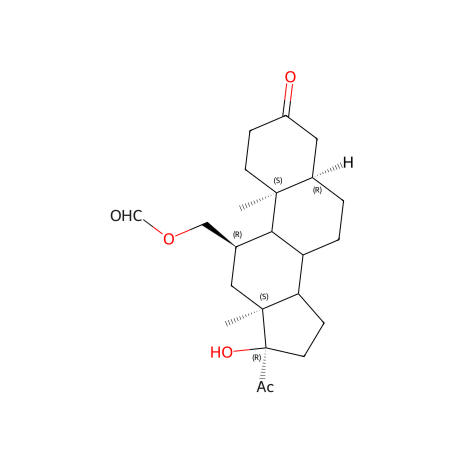 CC(=O)[C@@]1(O)CCC2C3CC[C@@H]4CC(=O)CC[C@]4(C)C3[C@H](COC=O)C[C@@]21C